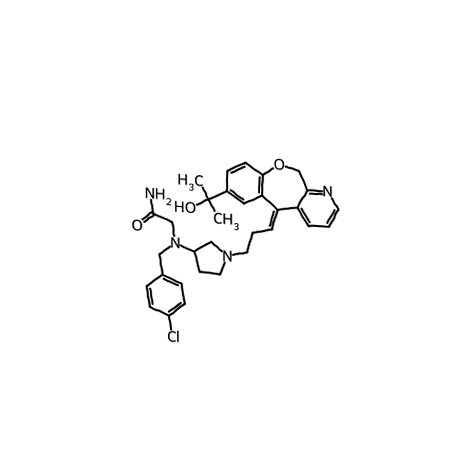 CC(C)(O)c1ccc2c(c1)C(=CCCN1CCC(N(CC(N)=O)Cc3ccc(Cl)cc3)C1)c1cccnc1CO2